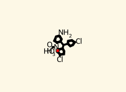 CCN(C(=O)O)c1ccc(N)cc1C(c1ccc(Cl)cc1)c1ccc(Cl)cc1